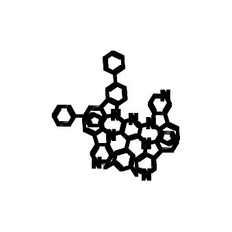 Cc1cc(C)cc(-c2c(-n3c4ccccc4c4cnccc43)c(-n3c4ccccc4c4cnccc43)nc(-n3c4ccc(-c5ccccc5)cc4c4cc(-c5ccccc5)ccc43)c2-n2c3ccccc3c3cnccc32)c1